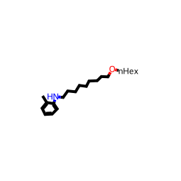 CCCCCCOCCCCCCCCCNc1ccccc1C